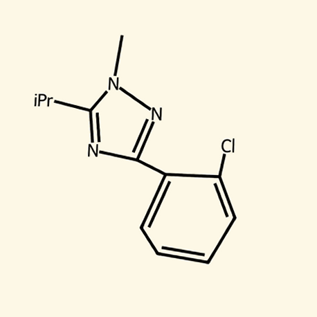 CC(C)c1nc(-c2ccccc2Cl)nn1C